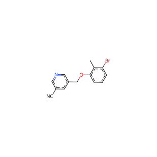 Cc1c(Br)cccc1OCc1cncc(C#N)c1